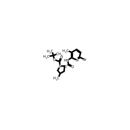 Cc1ccc(Br)nc1NC(=O)[C@@H]1CC(C)CN1C(=O)OC(C)(C)C